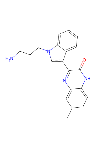 CC1C=c2nc(-c3cn(CCCN)c4ccccc34)c(=O)[nH]c2=CC1